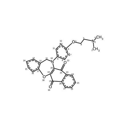 CN(C)CCOc1ncc(N2Cc3ccccc3OC3=C2C(=O)c2ccccc2C3=O)cn1